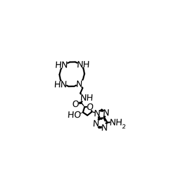 Nc1ncnc2c1ncn2[C@H]1C[C@H](O)[C@@H](C(=O)NCCN2CCCNCCNCCCNCC2)O1